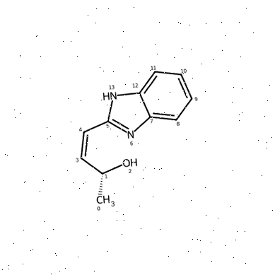 C[C@@H](O)/C=C\c1nc2ccccc2[nH]1